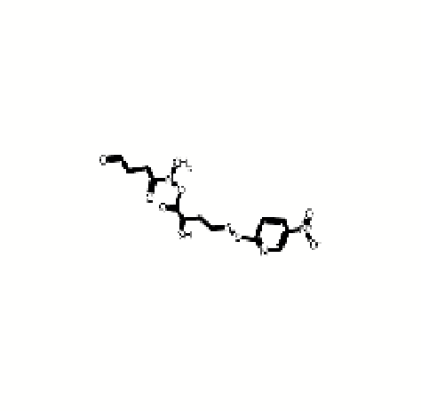 CN(OC(=O)C(S)CCSSc1ccc([N+](=O)[O-])cn1)C(=O)CCC=O